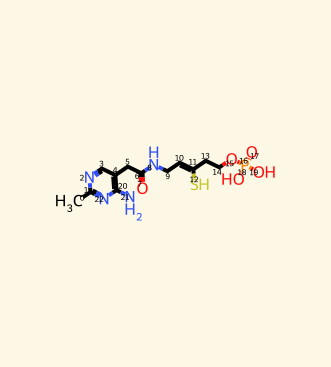 Cc1ncc(CC(=O)NCC=C(S)CCOP(=O)(O)O)c(N)n1